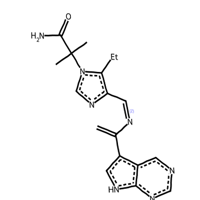 C=C(/N=C\c1ncn(C(C)(C)C(N)=O)c1CC)c1c[nH]c2ncncc12